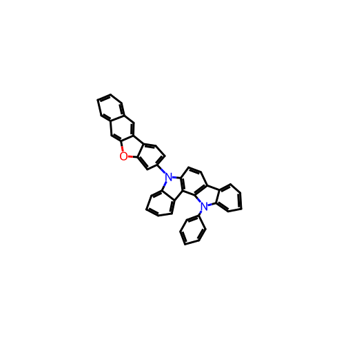 c1ccc(-n2c3ccccc3c3ccc4c(c5ccccc5n4-c4ccc5c(c4)oc4cc6ccccc6cc45)c32)cc1